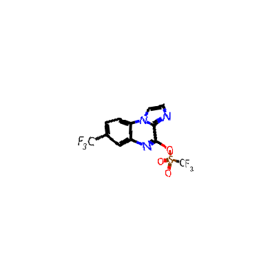 O=S(=O)(Oc1nc2cc(C(F)(F)F)ccc2n2ccnc12)C(F)(F)F